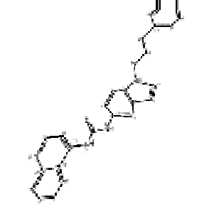 O=C(Nc1ccc2c(ccn2CCCc2ccccc2)c1)Nc1ccnc2ccccc12